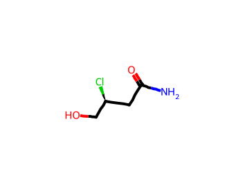 NC(=O)C[C@H](Cl)CO